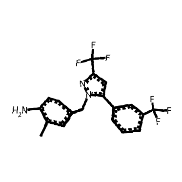 Cc1cc(Cn2nc(C(F)(F)F)cc2-c2cccc(C(F)(F)F)c2)ccc1N